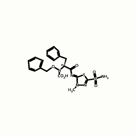 Cn1nc(S(N)(=O)=O)sc1=NC(=O)[C@H](Cc1ccccc1)N(OCc1ccccc1)C(=O)O